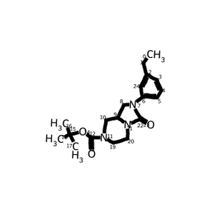 CCc1cccc(N2CC3CN(C(=O)OC(C)(C)C)CCN3C2=O)c1